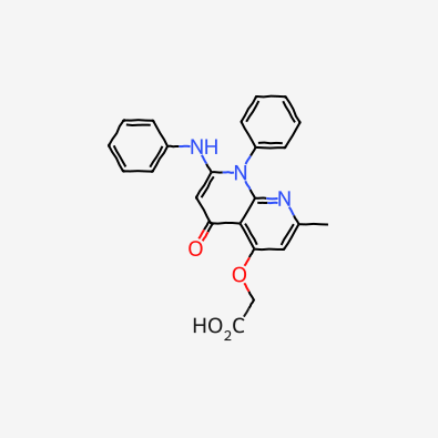 Cc1cc(OCC(=O)O)c2c(=O)cc(Nc3ccccc3)n(-c3ccccc3)c2n1